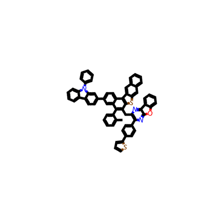 Cc1ccccc1-c1c(Cc2nc3c(nc2-c2ccc(-c4cccs4)cc2)oc2ccccc23)c2sc3cc4ccccc4cc3c2c2ccc(-c3ccc4c5ccccc5n(-c5ccccc5)c4c3)cc12